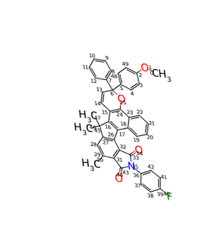 COc1ccc(C2(c3ccccc3)C=Cc3c4c(c5ccccc5c3O2)-c2c(cc(C)c3c2C(=O)N(c2ccc(F)cc2)C3=O)C4(C)C)cc1